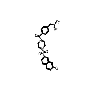 CC(C)N(Cc1ccc(C(=O)N2CCN(S(=O)(=O)c3ccc4ccc(Cl)cc4c3)CC2)cc1)C(C)C